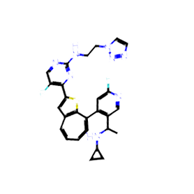 CC(NC1CC1)c1cnc(F)cc1C1=C=CC=Cc2cc(-c3nc(NCCn4ccnn4)ncc3F)sc21